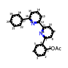 CC(=O)Oc1ccccc1-c1cccc(-c2cccc(-c3ccccc3)n2)n1